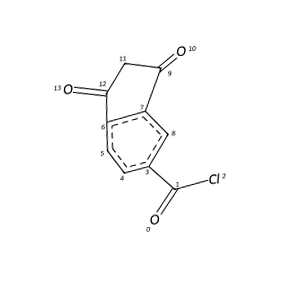 O=C(Cl)c1ccc2c(c1)C(=O)CC2=O